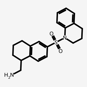 NCC1CCCc2cc(S(=O)(=O)N3CCCc4ccccc43)ccc21